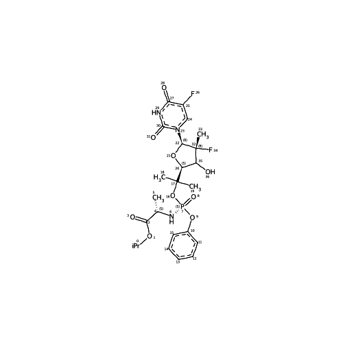 CC(C)OC(=O)[C@H](C)N[P@](=O)(Oc1ccccc1)OC(C)(C)[C@H]1O[C@@H](n2cc(F)c(=O)[nH]c2=O)[C@](C)(F)C1O